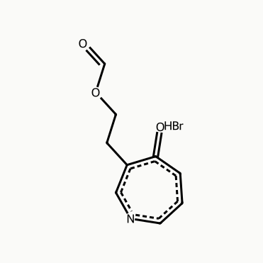 Br.O=COCCc1cncccc1=O